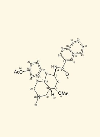 COC1C[C@H](NC(=O)c2ccc3ccccc3c2)C[C@]2(c3cccc(OC(C)=O)c3)CCN(C)C[C@@H]12